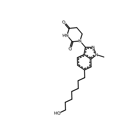 Cn1nc(N2CCC(=O)NC2=O)c2ccc(CCCCCCCO)cc21